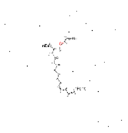 CCCCC/C=C\C/C=C\CCCCCCCCC(CCCCCCCCCC)CO/C=C/C(C)CC